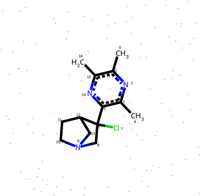 Cc1nc(C)c(C2(Cl)CN3CCC2C3)nc1C